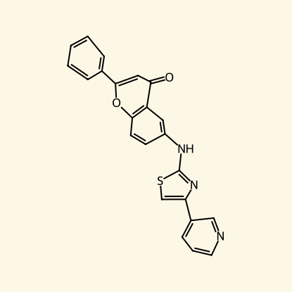 O=c1cc(-c2ccccc2)oc2ccc(Nc3nc(-c4cccnc4)cs3)cc12